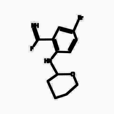 N=C(F)c1cc(Br)ccc1NC1CCCCO1